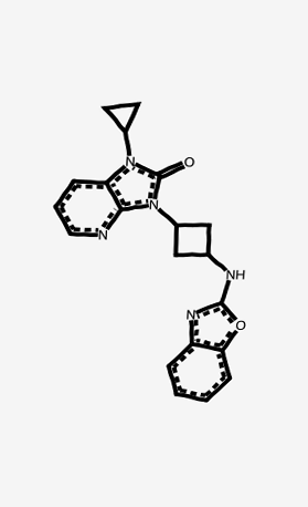 O=c1n(C2CC2)c2cccnc2n1C1CC(Nc2nc3ccccc3o2)C1